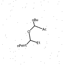 CCCCCC(CC)OC(CCCC)C(C)=O